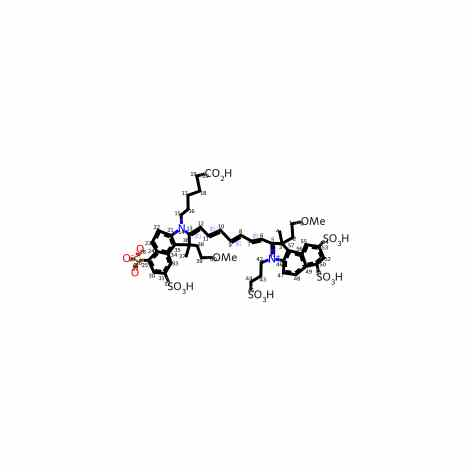 COCCC1(C)C(/C=C/C=C/C=C/C=C2/N(CCCCCC(=O)O)c3ccc4c(S(=O)(=O)[O-])cc(S(=O)(=O)O)cc4c3C2(C)CCOC)=[N+](CCCS(=O)(=O)O)c2ccc3c(S(=O)(=O)O)cc(S(=O)(=O)O)cc3c21